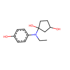 CCN(c1ccc(O)cc1)C1(O)CCC(O)C1